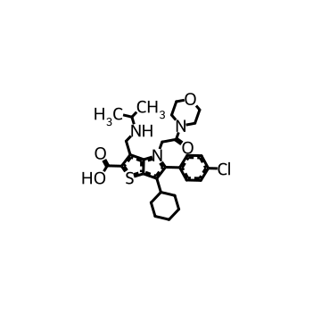 CC(C)NCc1c(C(=O)O)sc2c(C3CCCCC3)c(-c3ccc(Cl)cc3)n(CC(=O)N3CCOCC3)c12